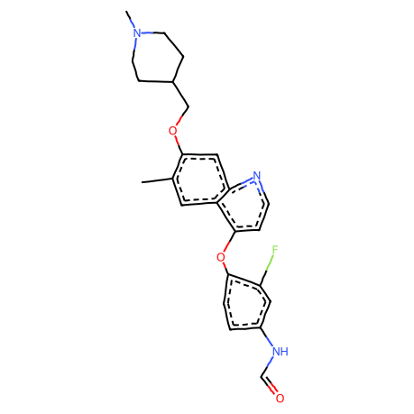 Cc1cc2c(Oc3ccc(NC=O)cc3F)ccnc2cc1OCC1CCN(C)CC1